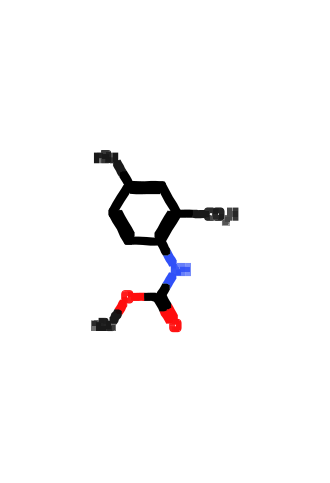 CCCCOC(=O)Nc1ccc(CCCC)cc1C(=O)O